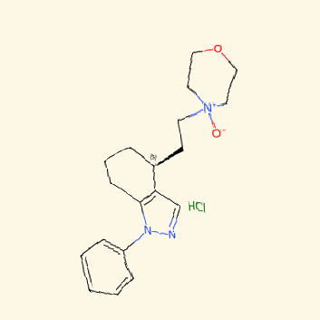 Cl.[O-][N+]1(CC[C@@H]2CCCc3c2cnn3-c2ccccc2)CCOCC1